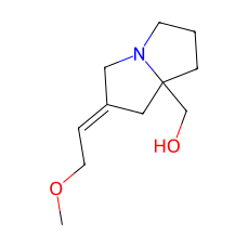 COC/C=C1/CN2CCCC2(CO)C1